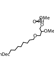 CCCCCCCCCCCCCCCCCCOCC(CO[PH](=O)OC)OC